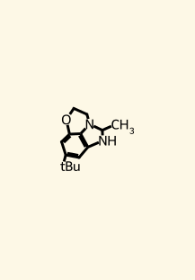 CC1Nc2cc(C(C)(C)C)cc3c2N1CCO3